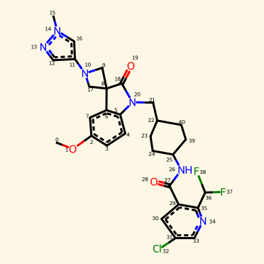 COc1ccc2c(c1)C1(CN(c3cnn(C)c3)C1)C(=O)N2CC1CCC(NC(=O)c2cc(Cl)cnc2C(F)F)CC1